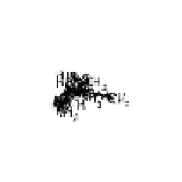 CCCCCCOC(=O)C(C)(C)NP(=O)(CO[C@H](C)Cn1cnc2c(N)ncnc21)ON=C(CC(C)C)CC(C)C